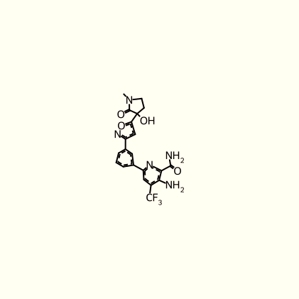 CN1CCC(O)(c2cc(-c3cccc(-c4cc(C(F)(F)F)c(N)c(C(N)=O)n4)c3)no2)C1=O